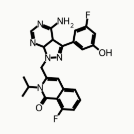 CC(C)n1c(CN2N=C(c3cc(O)cc(F)c3)C3C(N)=NC=NC32)cc2cccc(F)c2c1=O